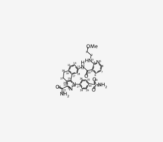 COCCNc1ncccc1C(=O)Nc1ccc2c(c1)-c1c(c(C(N)=O)nn1-c1ccc(S(N)(=O)=O)cc1)CC2